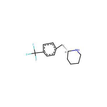 FC(F)(F)c1ccc(C[C@H]2CCCCN2)cc1